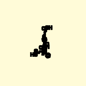 O=C(O)CCCCN1CCN(C(=O)CNC(=O)c2nc(-c3ccccc3)sc2CCC(=O)O)CC1